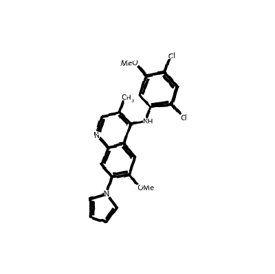 COc1cc(Nc2c(C)cnc3cc(-n4cccc4)c(OC)cc23)c(Cl)cc1Cl